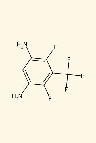 Nc1cc(N)c(F)c(C(F)(F)F)c1F